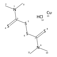 CN(C)C(=S)SSC(=S)N(C)C.Cl.[Cu]